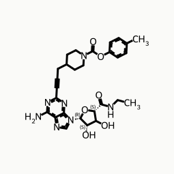 CCNC(=O)[C@H]1O[C@@H](n2cnc3c(N)nc(C#CCC4CCN(C(=O)Oc5ccc(C)cc5)CC4)nc32)[C@@H](O)C1O